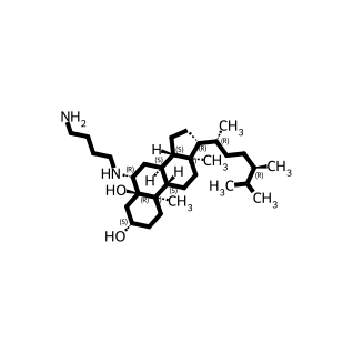 CC(C)[C@H](C)CC[C@@H](C)[C@H]1CC[C@H]2[C@@H]3C[C@@H](NCCCCN)[C@@]4(O)C[C@@H](O)CC[C@]4(C)[C@H]3CC[C@]12C